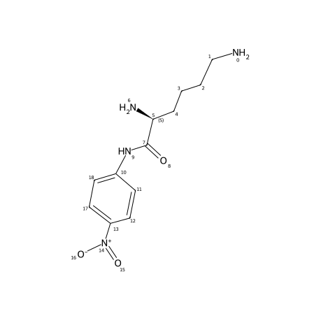 NCCCC[C@H](N)C(=O)Nc1ccc([N+](=O)[O-])cc1